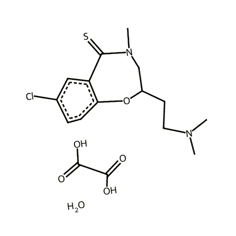 CN(C)CCC1CN(C)C(=S)c2cc(Cl)ccc2O1.O.O=C(O)C(=O)O